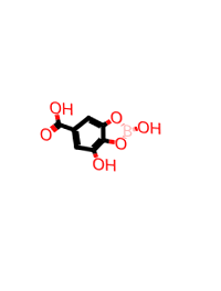 O=C(O)c1cc(O)c2c(c1)OB(O)O2